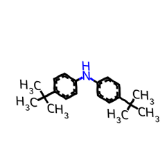 CC(C)(C)c1ccc(Nc2ccc(C(C)(C)C)cc2)cc1